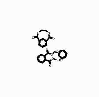 CCCCCCCCOC(=O)c1ccccc1C(=O)OCCCCCCCC.O=C1OCCOC(=O)c2cccc1c2.c1ccccc1